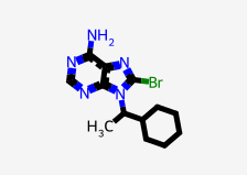 CC(C1CCCCC1)n1c(Br)nc2c(N)ncnc21